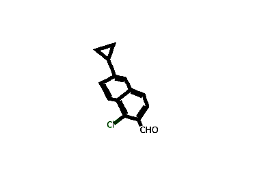 O=Cc1ccc2cc(C3CC3)ccc2c1Cl